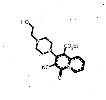 CCOC(=O)c1c(N2CCN(CCO)CC2)c(C#N)c(=O)n2ccccc12